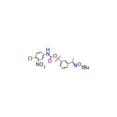 C/C(=N\OC(C)(C)C)c1cccc(C(C)(C)OC(=O)Nc2ccc(Cl)c([N+](=O)[O-])c2)c1